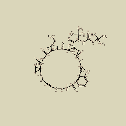 CC[C@@H]1C[C@@]12NC(=O)[C@@H]1C[C@H](CN1C(=O)[C@@H](NC(=O)OC(C)(C)C)C(C)(C)C)Oc1nc3c(cccc3[nH]1)C(=O)NCCC=CCCC1(CC1)S(=O)(=O)NC2=O